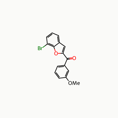 COc1cccc(C(=O)c2cc3cccc(Br)c3o2)c1